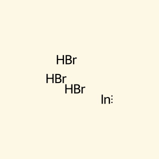 Br.Br.Br.[In]